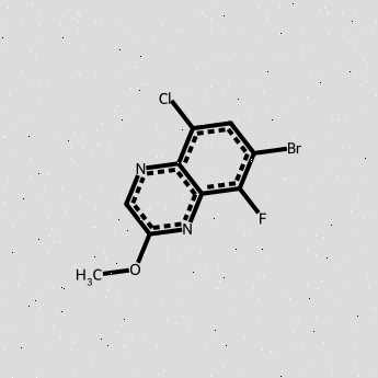 COc1cnc2c(Cl)cc(Br)c(F)c2n1